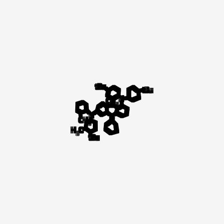 Cc1ccccc1N(C1=CC(C)C(C(C)(C)C)C=C1)C1=CC2N(c3ccccc3)c3cccc4c3B(c3cc(C(C)(C)C)ccc3N4c3ccc(C(C)(C)C)cc3)C2(C)C=C1